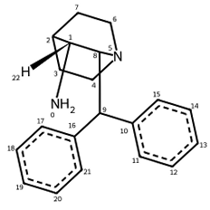 N[C@@H]1C2CCN(CC2)C1C(c1ccccc1)c1ccccc1